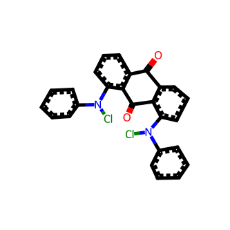 O=C1c2cccc(N(Cl)c3ccccc3)c2C(=O)c2c1cccc2N(Cl)c1ccccc1